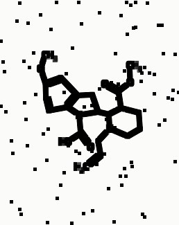 C=CCN1CCCC(C(=O)OC)C1C1Cc2cc(OC)ccc2N1C(=O)O